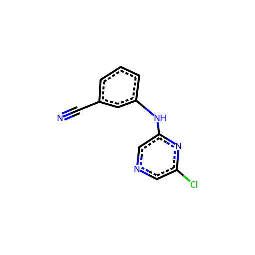 N#Cc1cccc(Nc2cncc(Cl)n2)c1